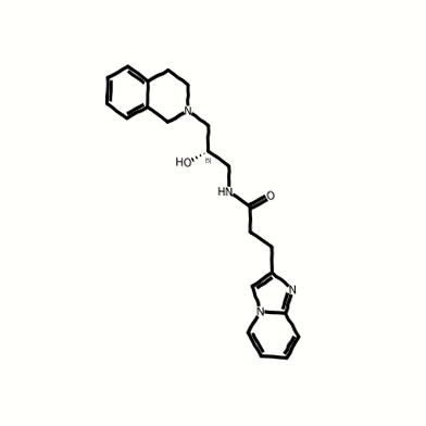 O=C(CCc1cn2ccccc2n1)NC[C@H](O)CN1CCc2ccccc2C1